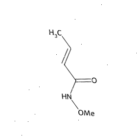 C/C=C/C(=O)NOC